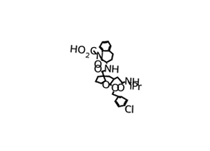 CC(C)NC(=O)CC(CC1(C(=O)N[C@H]2CCc3ccccc3N(CC(=O)O)C2=O)CCCC1)C(=O)OCc1ccc(Cl)cc1